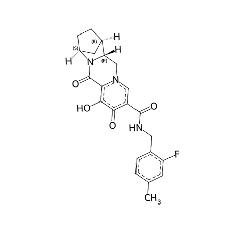 Cc1ccc(CNC(=O)c2cn3c(c(O)c2=O)C(=O)N2[C@H]4CC[C@H](C4)[C@@H]2C3)c(F)c1